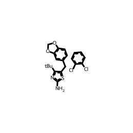 CC(C)(C)c1nc(N)sc1Cc1ccc2c(c1)OCO2.Clc1ccccc1Cl